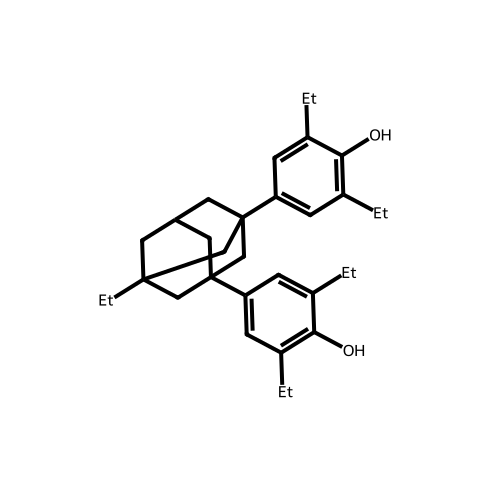 CCc1cc(C23CC4CC(CC)(C2)CC(c2cc(CC)c(O)c(CC)c2)(C4)C3)cc(CC)c1O